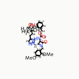 COc1ccc(CN2C(=O)[C@@H](NC(=O)OCc3ccccc3)[C@H]2Cn2ncc(CCC(C)(C)[Si](C)(C)O)n2)c(OC)c1